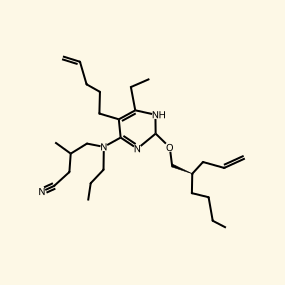 C=CCCCC1=C(CC)NC(OC[C@@H](CC=C)CCCC)N=C1N(CCC)CC(C)CC#N